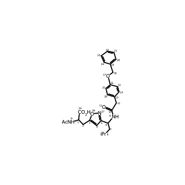 CC(=O)NC(Cc1cc(C(CC(C)C)NC(=O)Cc2ccc(OCc3ccccc3)cc2)no1)C(=O)O